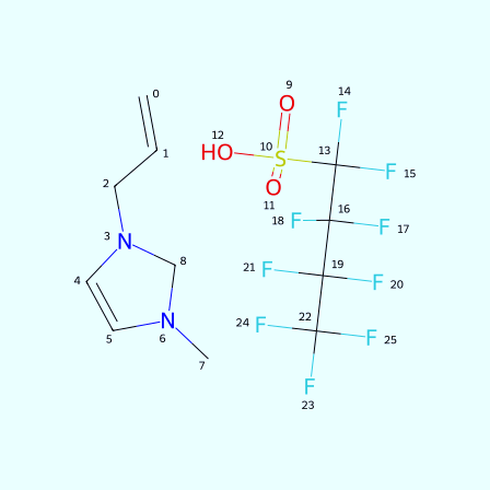 C=CCN1C=CN(C)C1.O=S(=O)(O)C(F)(F)C(F)(F)C(F)(F)C(F)(F)F